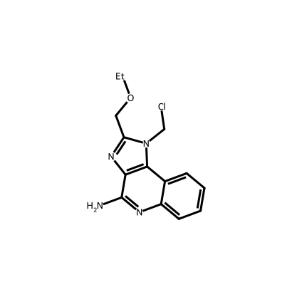 CCOCc1nc2c(N)nc3ccccc3c2n1CCl